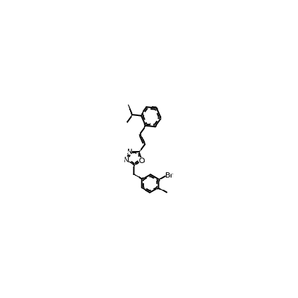 Cc1ccc(Cc2nnc(/C=C/c3ccccc3C(C)C)o2)cc1Br